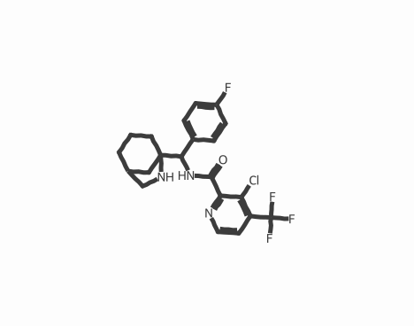 O=C(NC(c1ccc(F)cc1)C12CCCC(CN1)C2)c1nccc(C(F)(F)F)c1Cl